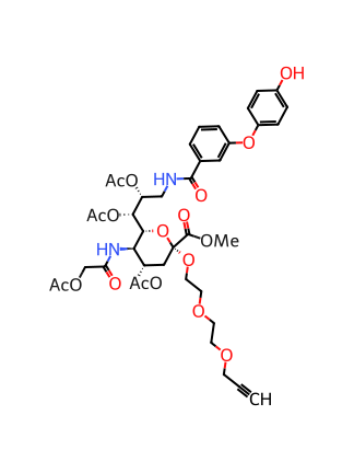 C#CCOCCOCCO[C@]1(C(=O)OC)C[C@H](OC(C)=O)[C@@H](NC(=O)COC(C)=O)[C@H]([C@H](OC(C)=O)[C@@H](CNC(=O)c2cccc(Oc3ccc(O)cc3)c2)OC(C)=O)O1